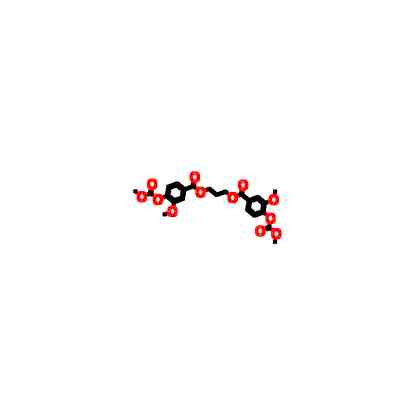 COC(=O)Oc1ccc(C(=O)OCCCOC(=O)c2ccc(OC(=O)OC)c(OC)c2)cc1OC